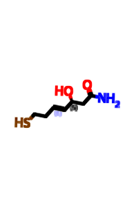 NC(=O)C[C@H](O)/C=C/CCS